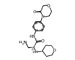 NC[C@H](NC1CCOCC1)C(=O)Nc1ccc(N2CCOCC2=O)cc1